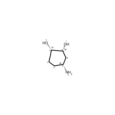 N[C@@H]1CC[C@H](O)[C@H](O)C1